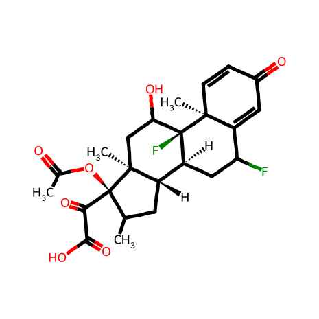 CC(=O)O[C@]1(C(=O)C(=O)O)C(C)C[C@H]2[C@@H]3CC(F)C4=CC(=O)C=C[C@]4(C)[C@@]3(F)C(O)C[C@@]21C